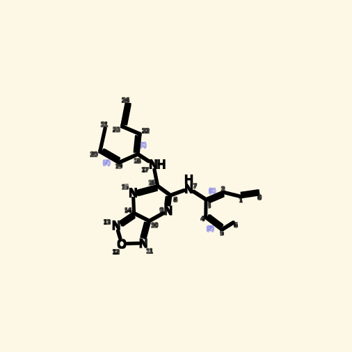 C=C/C=C(\C=C/C)Nc1nc2nonc2nc1NC(/C=C\C)=C/C=C